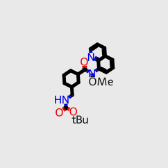 CON(C(=O)C1CCCC(CNC(=O)OC(C)(C)C)C1)c1cccc2cccnc12